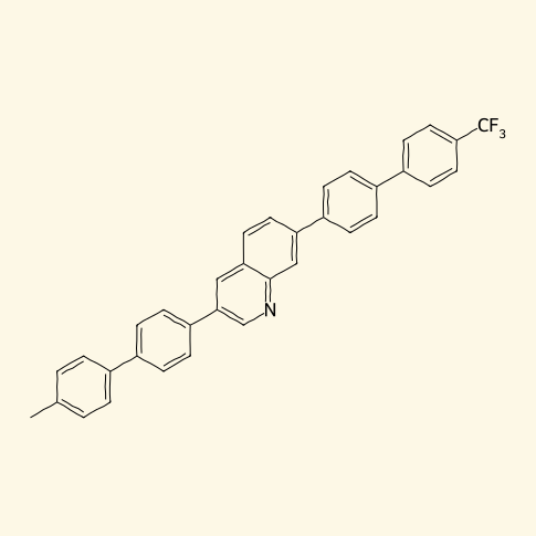 Cc1ccc(-c2ccc(-c3cnc4cc(-c5ccc(-c6ccc(C(F)(F)F)cc6)cc5)ccc4c3)cc2)cc1